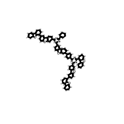 c1ccc(-c2nc(-c3ccc4c(c3)oc3ccc(-c5cccc6c5oc5ccccc56)cc34)nc(-c3ccc4oc5cc(-c6ccc(-c7nc(-c8ccc9c(c8)oc8ccc(-c%10cccc%11c%10oc%10ccccc%10%11)cc89)nc(-c8cccc9oc%10ccccc%10c89)n7)cc6)ccc5c4c3)n2)cc1